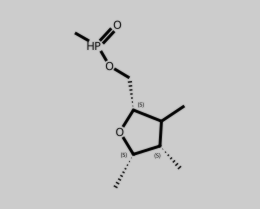 CC1[C@@H](CO[PH](C)=O)O[C@@H](C)[C@H]1C